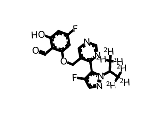 [2H]C([2H])([2H])C(n1ncc(F)c1-c1ncncc1COc1cc(F)cc(O)c1C=O)C([2H])([2H])[2H]